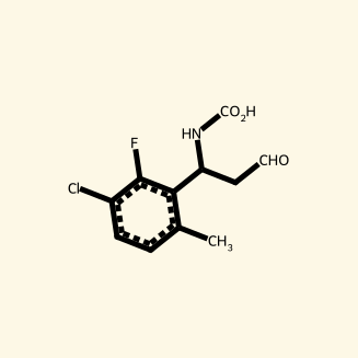 Cc1ccc(Cl)c(F)c1C(CC=O)NC(=O)O